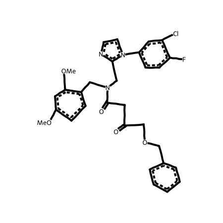 COc1ccc(CN(Cc2nccn2-c2ccc(F)c(Cl)c2)C(=O)CC(=O)COCc2ccccc2)c(OC)c1